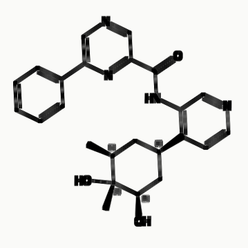 C[C@H]1C[C@@H](c2ccncc2NC(=O)c2cncc(-c3ccccc3)n2)C[C@@H](O)[C@]1(C)O